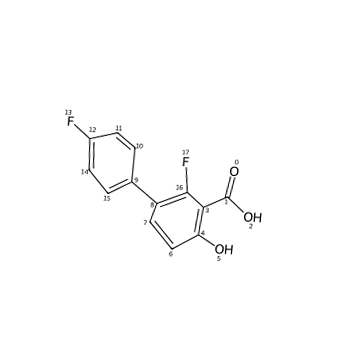 O=C(O)c1c(O)ccc(-c2ccc(F)cc2)c1F